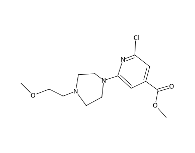 COCCN1CCN(c2cc(C(=O)OC)cc(Cl)n2)CC1